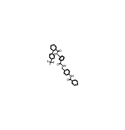 O=C(NCc1ccc(NC(=O)c2ccccc2)cc1)c1cccc(NC(=O)c2ccccc2-c2ccc(C(F)(F)F)cc2)c1